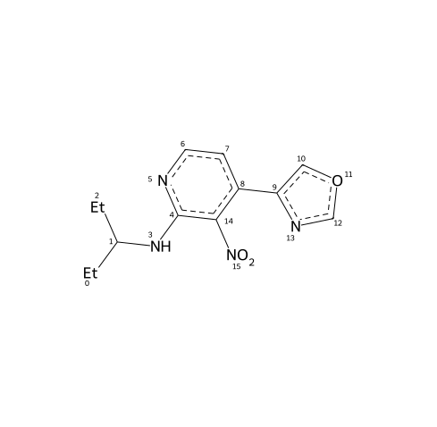 CCC(CC)Nc1nccc(-c2cocn2)c1[N+](=O)[O-]